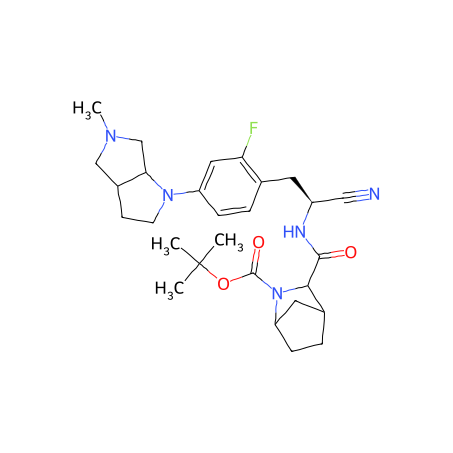 CN1CC2CCN(c3ccc(C[C@@H](C#N)NC(=O)C4C5CCC(C5)N4C(=O)OC(C)(C)C)c(F)c3)C2C1